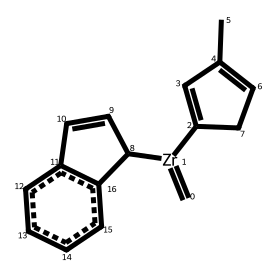 [CH2]=[Zr]([C]1=CC(C)=CC1)[CH]1C=Cc2ccccc21